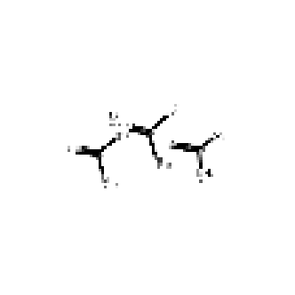 NC(=S)[S-].NC(=S)[S-].NC(=S)[S-].[B+3]